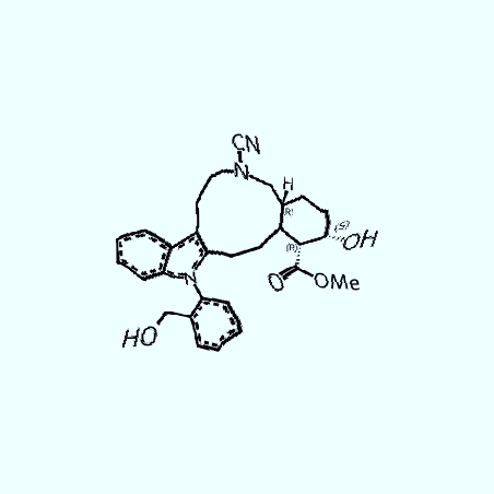 COC(=O)[C@@H]1C2CCc3c(c4ccccc4n3-c3ccccc3CO)CCN(C#N)C[C@@H]2CC[C@@H]1O